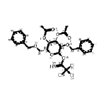 CC(=O)O[C@H]1[C@H](OC(C)=O)[C@@H](OCc2ccccc2)C(OC(=N)C(Cl)(Cl)Cl)O[C@@H]1COCc1ccccc1